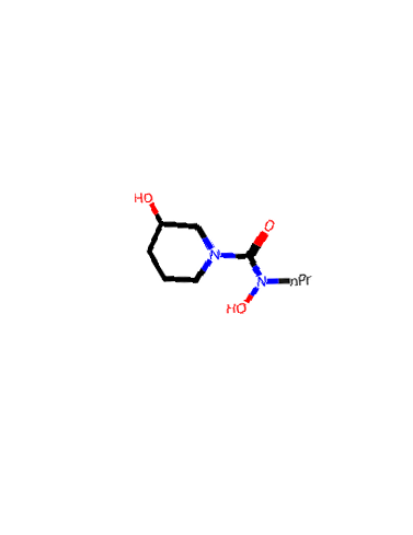 CCCN(O)C(=O)N1CCCC(O)C1